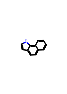 [c]1cc2ccc3ccccc3c2[nH]1